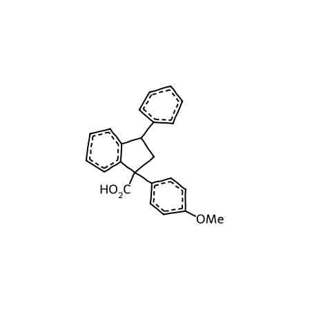 COc1ccc(C2(C(=O)O)CC(c3ccccc3)c3ccccc32)cc1